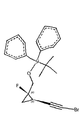 CC(C)(C)[Si](OC[C@@]1(F)C[C@@H]1C#CBr)(c1ccccc1)c1ccccc1